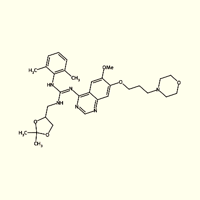 COc1cc2c(/N=C(\NCC3COC(C)(C)O3)Nc3c(C)cccc3C)ncnc2cc1OCCCN1CCOCC1